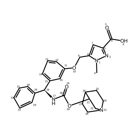 Cn1nc(C(=O)O)cc1COc1cccc([C@@H](NC(=O)OC2CN3CCC2CC3)c2ccccc2)c1